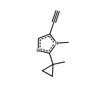 C#Cc1cnc(C2(C)CC2)n1C